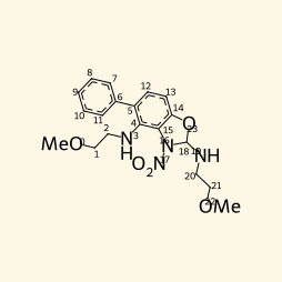 COCCNc1c(-c2ccccc2)ccc2c1N([N+](=O)[O-])C(NCCOC)O2